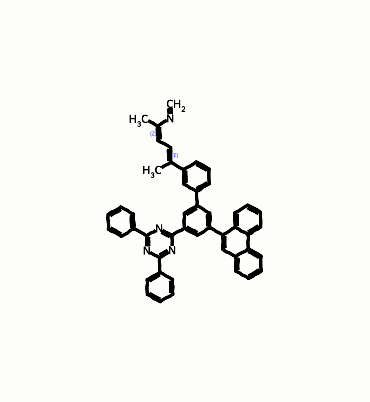 C=N/C(C)=C\C=C(/C)c1cccc(-c2cc(-c3nc(-c4ccccc4)nc(-c4ccccc4)n3)cc(-c3cc4ccccc4c4ccccc34)c2)c1